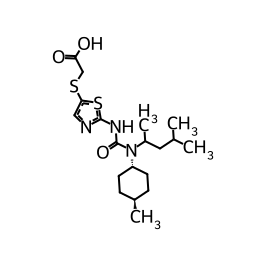 CC(C)CC(C)N(C(=O)Nc1ncc(SCC(=O)O)s1)[C@H]1CC[C@H](C)CC1